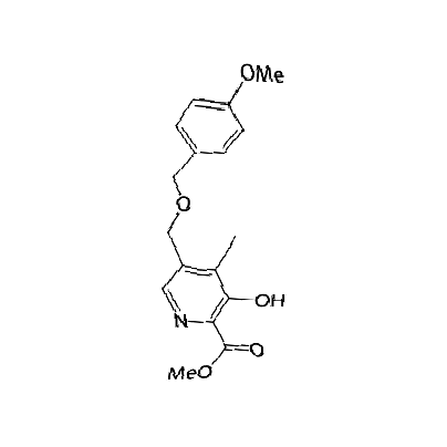 COC(=O)c1ncc(COCc2ccc(OC)cc2)c(C)c1O